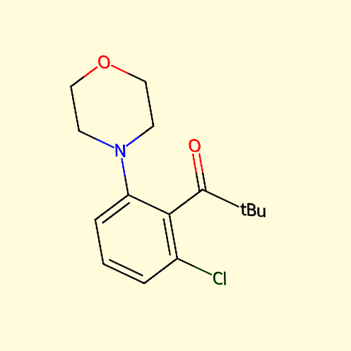 CC(C)(C)C(=O)c1c(Cl)cccc1N1CCOCC1